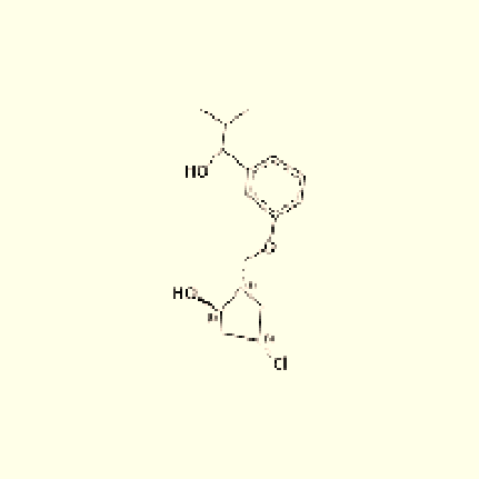 CC(C)C(O)c1cccc(OC[C@@H]2C[C@H](Cl)C[C@H]2O)c1